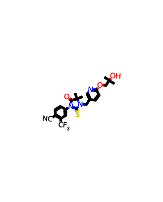 CC(C)(O)COc1ccc(CN2C(=S)N(c3ccc(C#N)c(C(F)(F)F)c3)C(=O)C2(C)C)cn1